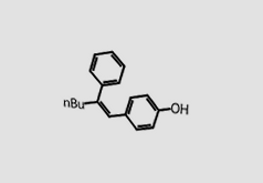 CCCCC(=Cc1ccc(O)cc1)c1ccccc1